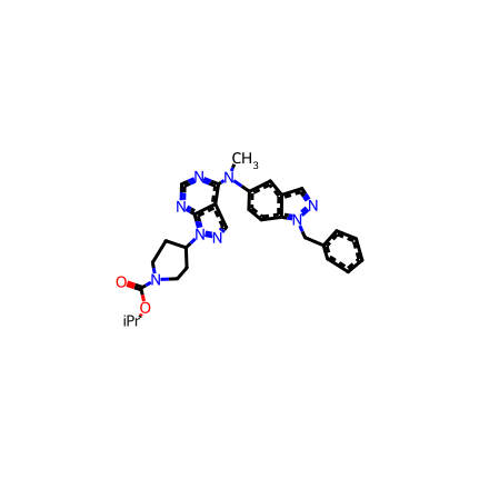 CC(C)OC(=O)N1CCC(n2ncc3c(N(C)c4ccc5c(cnn5Cc5ccccc5)c4)ncnc32)CC1